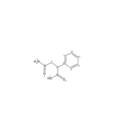 NC(=O)CC(C(=O)O)c1ccccc1